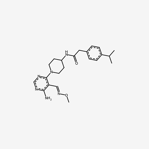 CON=Cc1c(N)ncnc1N1CCC(NC(=O)Cc2ccc(C(C)C)cc2)CC1